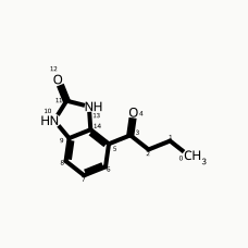 CCCC(=O)c1cccc2[nH]c(=O)[nH]c12